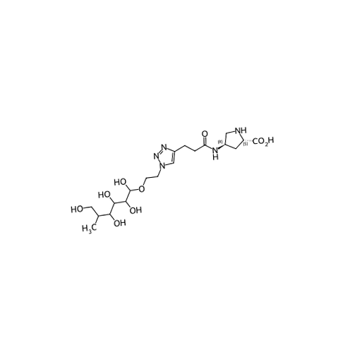 CC(CO)C(O)C(O)C(O)C(O)OCCn1cc(CCC(=O)N[C@H]2CN[C@H](C(=O)O)C2)nn1